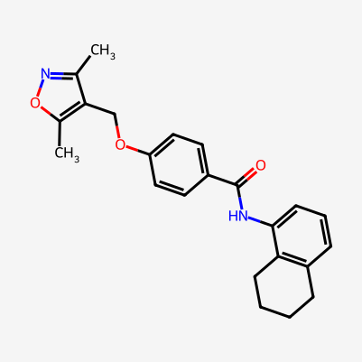 Cc1noc(C)c1COc1ccc(C(=O)Nc2cccc3c2CCCC3)cc1